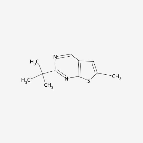 Cc1cc2cnc(C(C)(C)C)nc2s1